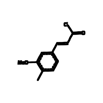 COc1cc(C=CC(=O)Cl)ccc1C